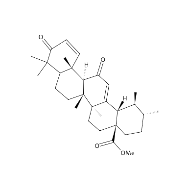 COC(=O)[C@]12CC[C@@H](C)[C@H](C)[C@H]1C1=CC(=O)[C@@H]3[C@@]4(C)C=CC(=O)C(C)(C)C4CC[C@@]3(C)[C@]1(C)CC2